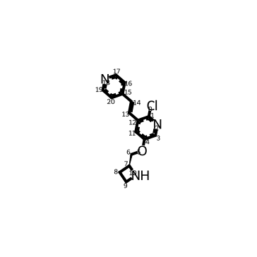 Clc1ncc(OC[C@@H]2CCN2)cc1C=Cc1ccncc1